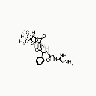 CC1(C)S[C@@H]2[C@H](NC(=O)C(NC(=O)CNC(=N)CN)c3ccccc3)C(=O)N2[C@H]1C(=O)O